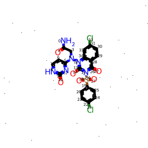 NC(=O)CN(c1cc[nH]c(=O)n1)n1c(=O)n(S(=O)(=O)c2ccc(Cl)cc2)c(=O)c2ccc(Cl)cc21